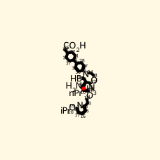 B=C1C(=C(/C)N)/C(=N\C(=C\CCC)OCCc2cccc(OC(C)C)n2)OCCN1C1=CCC(C2CCC(CC(=O)O)CC2)C=C1